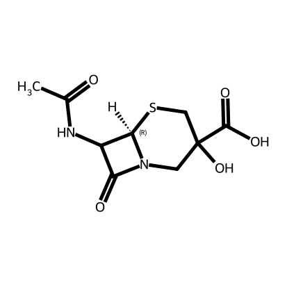 CC(=O)NC1C(=O)N2CC(O)(C(=O)O)CS[C@H]12